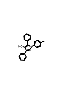 Cc1ccc(-n2nc(-c3ccccc3)c(O)c2-c2ccccc2)cc1